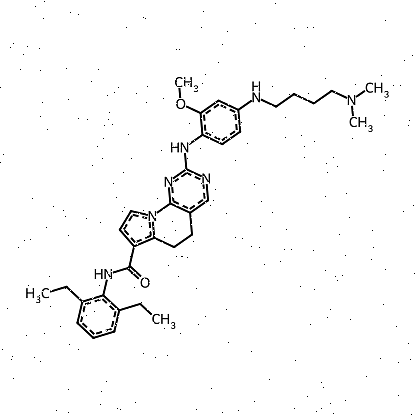 CCc1cccc(CC)c1NC(=O)c1ccn2c1CCc1cnc(Nc3ccc(NCCCCN(C)C)cc3OC)nc1-2